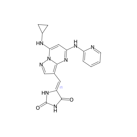 O=C1NC(=O)/C(=C/c2cnn3c(NC4CC4)cc(Nc4ccccn4)nc23)N1